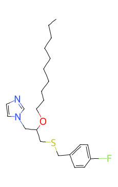 CCCCCCCCCCOC(CSCc1ccc(F)cc1)Cn1ccnc1